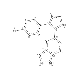 Clc1ccc(-c2nc[nH]c2-c2ccc3[nH]ncc3c2)cc1